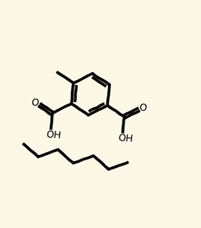 CCCCCCC.Cc1ccc(C(=O)O)cc1C(=O)O